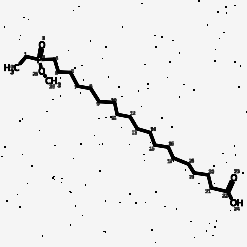 CCP(=O)(CCCCCCCCCCCCCCCCCCC(=O)O)OC